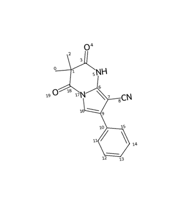 CC1(C)C(=O)Nc2c(C#N)c(-c3ccccc3)cn2C1=O